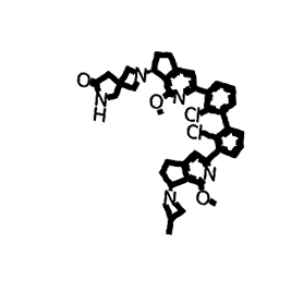 COc1nc(-c2cccc(-c3cccc(-c4cc5c(c(OC)n4)[C@@H](N4CC6(CNC(=O)C6)C4)CC5)c3Cl)c2Cl)cc2c1[C@@H](N1CC(C)C1)CC2